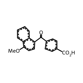 COc1ccc(C(=O)c2ccc(C(=O)O)cc2)c2ccccc12